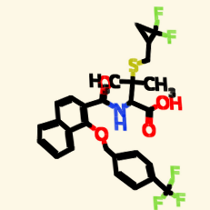 CC(C)(SCC1CC1(F)F)C(NC(=O)c1ccc2ccccc2c1OCc1ccc(C(F)(F)F)cc1)C(=O)O